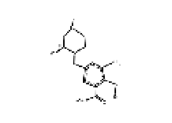 COC(=O)c1cc(CN2CCN(C)C[C@@H]2C(C)C)cc(C(F)(F)F)c1CBr